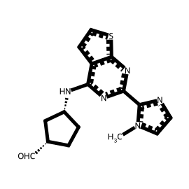 Cn1ccnc1-c1nc(N[C@@H]2CC[C@H](C=O)C2)c2ccsc2n1